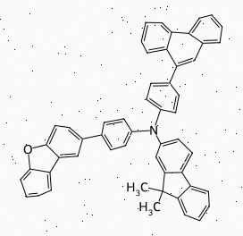 CC1(C)c2ccccc2-c2ccc(N(c3ccc(-c4ccc5oc6ccccc6c5c4)cc3)c3ccc(-c4cc5ccccc5c5ccccc45)cc3)cc21